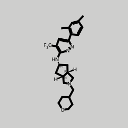 Cc1ccc(-c2cc(C(F)(F)F)c(N[C@@H]3C[C@@H]4CN(CC5CCOCC5)C[C@@H]4C3)nn2)c(C)c1